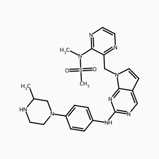 CC1CN(c2ccc(Nc3ncc4ccn(Cc5nccnc5N(C)S(C)(=O)=O)c4n3)cc2)CCN1